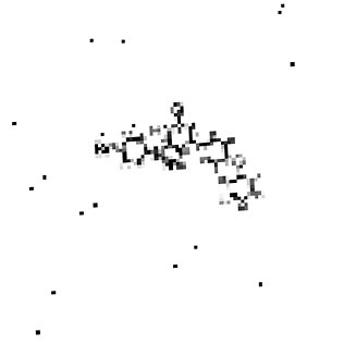 O=C1CC(c2ccc(Oc3ccccc3)cc2)c2cnn(-c3ccc(Br)cc3)c2N1